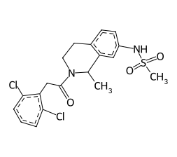 CC1c2cc(NS(C)(=O)=O)ccc2CCN1C(=O)Cc1c(Cl)cccc1Cl